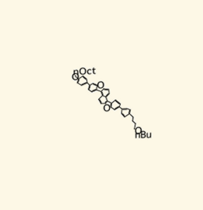 CCCCCCCCOc1ccc(-c2ccc3c(c2)oc2ccc4c(ccc5oc6cc(-c7ccc(CCCCOCCCC)cc7)ccc6c54)c23)cc1